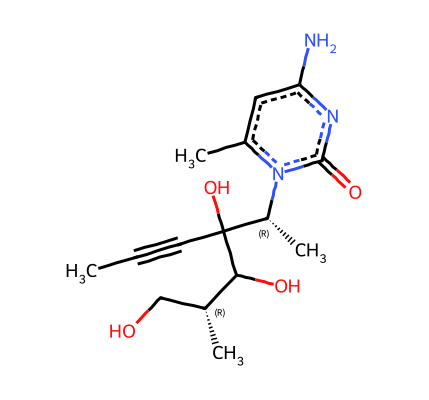 CC#CC(O)(C(O)[C@H](C)CO)[C@@H](C)n1c(C)cc(N)nc1=O